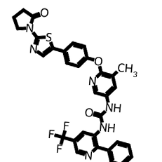 Cc1cc(NC(=O)Nc2cc(C(F)(F)F)cnc2-c2ccccc2)cnc1Oc1ccc(-c2cnc(N3CCCC3=O)s2)cc1